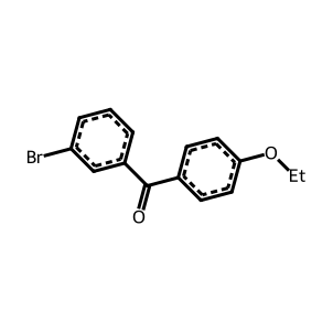 CCOc1ccc(C(=O)c2cccc(Br)c2)cc1